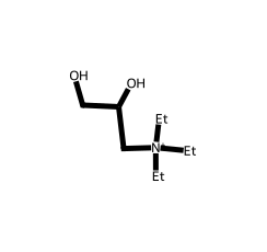 CC[N+](CC)(CC)CC(O)CO